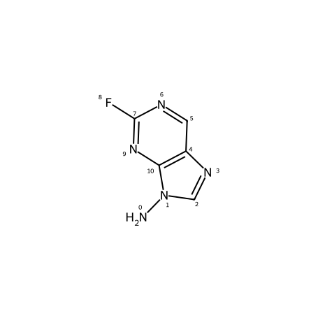 Nn1cnc2cnc(F)nc21